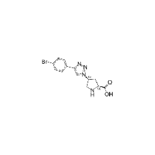 O=C(O)[C@@H]1C[C@H](n2cc(-c3ccc(Br)cc3)nn2)CN1